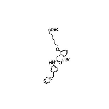 Br.CCCCCCCCCCCCCCCCOc1ccccc1CC(=O)Nc1ccc(CN2C=CSC2)cc1